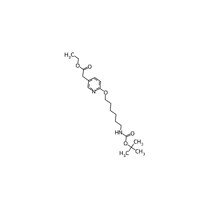 CCOC(=O)Cc1ccc(OCCCCCCNC(=O)OC(C)(C)C)nc1